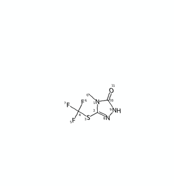 Cn1c(SC(F)(F)F)n[nH]c1=O